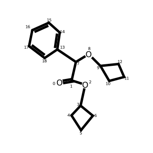 O=C(OC1CCC1)C(OC1CCC1)c1ccccc1